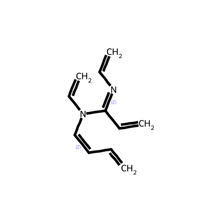 C=C/C=C\N(C=C)/C(C=C)=N\C=C